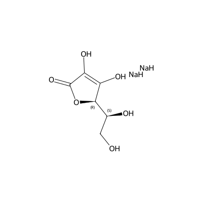 O=C1O[C@H]([C@@H](O)CO)C(O)=C1O.[NaH].[NaH]